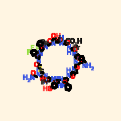 CCCC[C@H]1C(=O)N2C[C@@H](O)C[C@@H]2C(=O)N[C@@H](CC(=O)O)C(=O)N[C@@H](C(C)C)C(=O)N(C)/C(=C/c2ccc(C)cc2)C(=O)N[C@@H](CCCN)C(=O)N2CCC[C@@H]2C(=O)N[C@@H](Cc2c[nH]c3ccccc23)C(=O)N[C@@H](Cc2ccc(O)cc2)C(=O)N[C@@H](CC(C)C)C(=O)N[C@H](C(=O)NCC(N)=O)CSCC(=O)N[C@@H](Cc2cc(F)c(F)c(F)c2)C(=O)N(C)[C@@H](Cc2ccccc2)C(=O)N1C